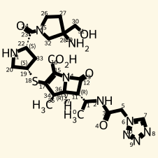 CC(NC(=O)Cn1cnnn1)[C@H]1C(=O)N2C(C(=O)O)=C(S[C@@H]3CN[C@H](C(=O)N4CCC(N)(CO)C4)C3)[C@H](C)[C@H]12